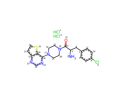 Cl.Cl.NC(Cc1ccc(Cl)cc1)C(=O)N1CCN(c2ncnc3ccsc23)CC1